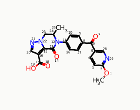 COc1ccc(C(=O)c2ccc(N3C(=O)c4c(C(=O)O)cnn4CC3C)cc2)cn1